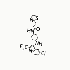 O=C(CCc1nccs1)NC1CCC(Nc2cc(C(F)(F)F)nc3ccc(Cl)cc23)CC1